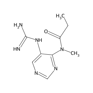 CCC(=O)N(C)c1ncncc1NC(=N)N